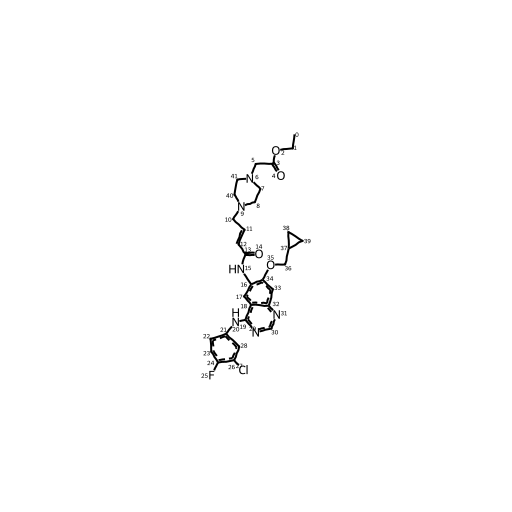 CCOC(=O)CN1CCN(C/C=C/C(=O)Nc2cc3c(Nc4ccc(F)c(Cl)c4)ncnc3cc2OCC2CC2)CC1